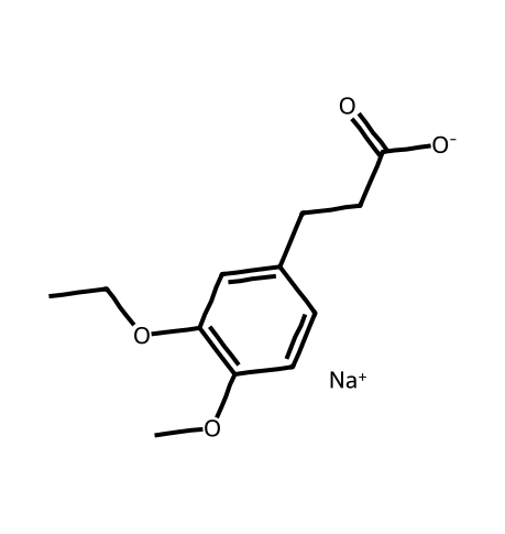 CCOc1cc(CCC(=O)[O-])ccc1OC.[Na+]